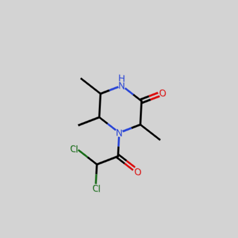 CC1NC(=O)C(C)N(C(=O)C(Cl)Cl)C1C